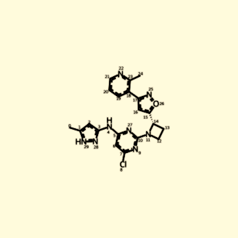 Cc1cc(Nc2cc(Cl)nc(N3CC[C@H]3c3cc(-c4cccnc4C)no3)n2)n[nH]1